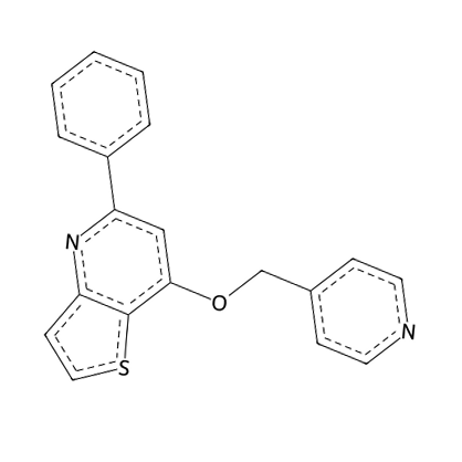 c1ccc(-c2cc(OCc3ccncc3)c3sccc3n2)cc1